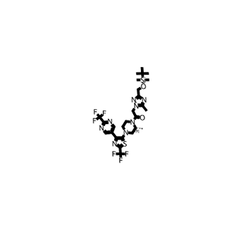 Cc1nc(CO[Si](C)(C)C(C)(C)C)nn1CC(=O)N1CCN(c2sc(C(F)(F)F)nc2-c2cnc(C(F)(F)F)nc2)C[C@H]1C